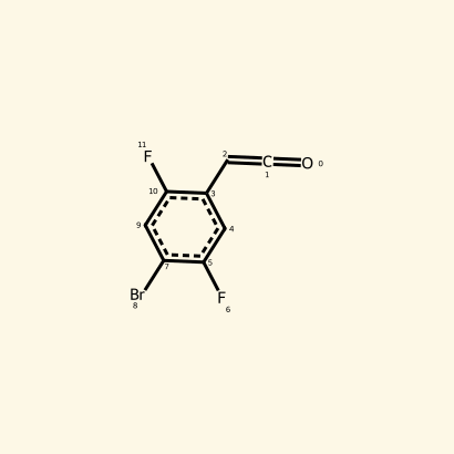 O=C=Cc1cc(F)c(Br)cc1F